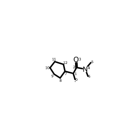 [CH2]C(C(=O)N(C)C)C1CCCCC1